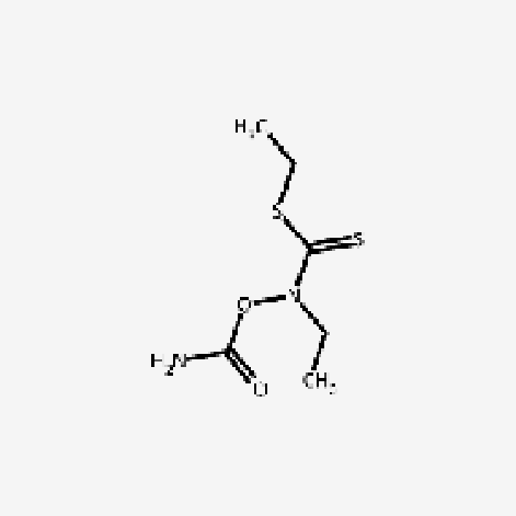 CCSC(=S)N(CC)OC(N)=O